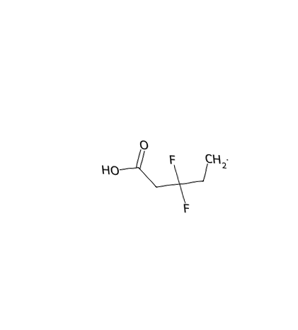 [CH2]CC(F)(F)CC(=O)O